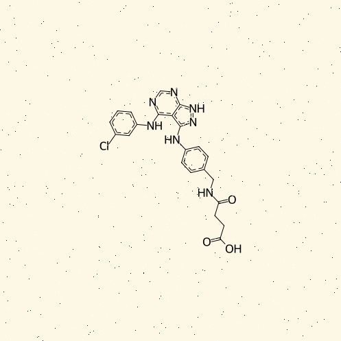 O=C(O)CCC(=O)NCc1ccc(Nc2n[nH]c3ncnc(Nc4cccc(Cl)c4)c23)cc1